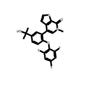 Cn1cc(-c2cc(C(C)(C)O)ccc2Oc2c(F)cc(F)cc2F)c2ccsc2c1=O